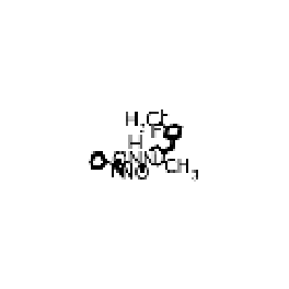 CC1CN(C(=O)Nc2nnc(-c3ccccc3)o2)CCC1=Cc1cccc(C(C)(F)F)c1